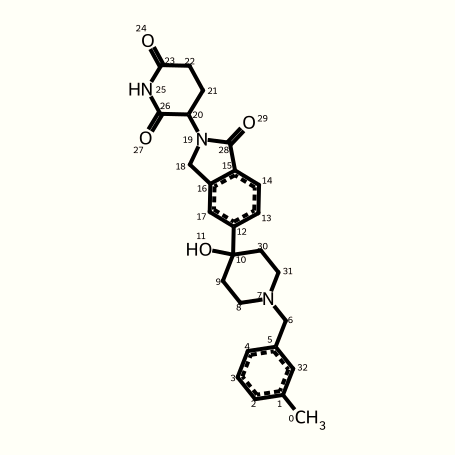 Cc1cccc(CN2CCC(O)(c3ccc4c(c3)CN(C3CCC(=O)NC3=O)C4=O)CC2)c1